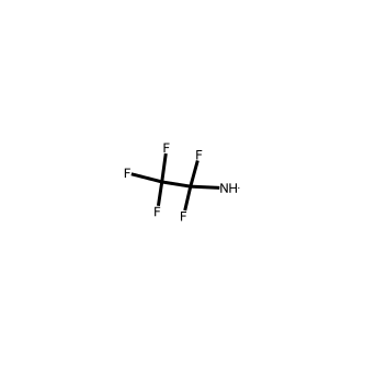 [NH]C(F)(F)C(F)(F)F